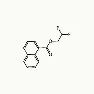 O=C(OCC(F)F)c1cccc2ccccc12